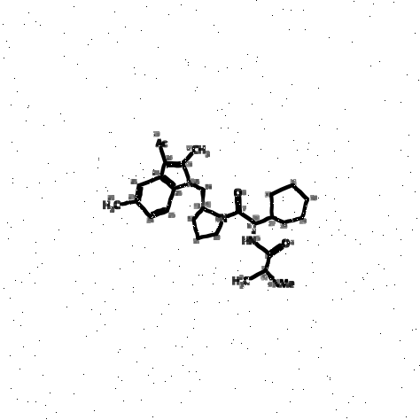 CN[C@@H](C)C(=O)N[C@H](C(=O)N1CCC[C@H]1Cn1c(C)c(C(C)=O)c2cc(C)ccc21)C1CCCCC1